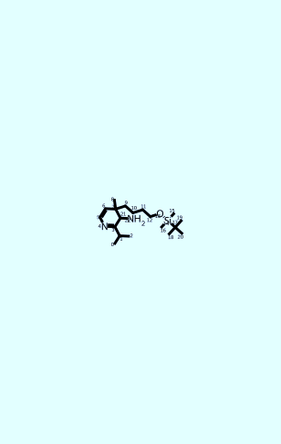 CC(C)C1=NC=CC(C)(CCCCO[Si](C)(C)C(C)(C)C)C1N